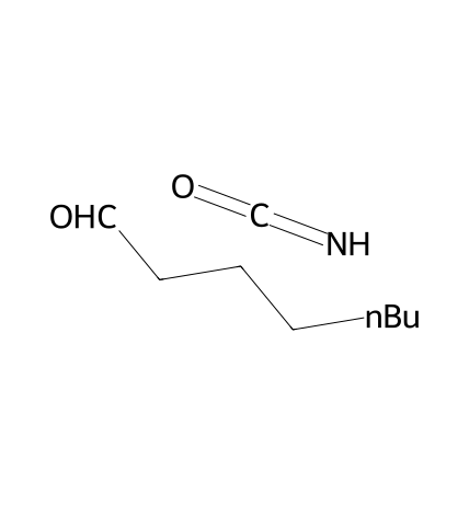 CCCCCCCC=O.N=C=O